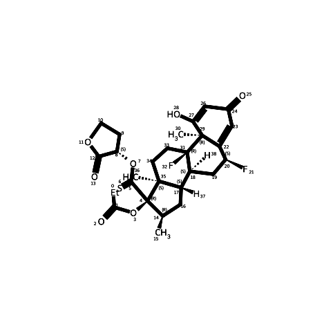 CCC(=O)O[C@]1(C(=S)O[C@H]2CCOC2=O)[C@H](C)C[C@H]2[C@@H]3C[C@H](F)C4=CC(=O)C=C(O)[C@]4(C)[C@@]3(F)CC[C@@]21C